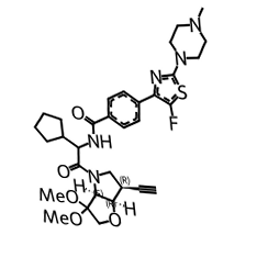 C#C[C@@H]1CN(C(=O)C(NC(=O)c2ccc(-c3nc(N4CCN(C)CC4)sc3F)cc2)C2CCCC2)[C@H]2[C@@H]1OCC2(OC)OC